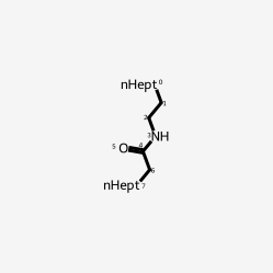 CCCCCCCCCNC(=O)CCCCCCCC